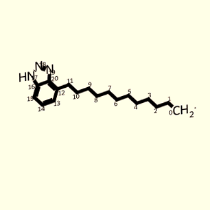 [CH2]CCCCCCCCCCCc1cccc2[nH]nnc12